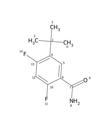 CC(C)(C)c1cc(C(N)=O)c(F)cc1F